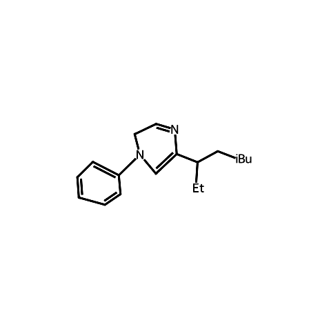 CCC(C)CC(CC)C1=CN(c2ccccc2)CC=N1